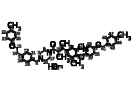 Br.C/C(C(=O)N1CCN(Cc2ccc(CCOc3ccc(C)cc3)cc2)CC1)=C(/C)c1cc(C)c(Oc2ccc(OCc3ccc(C)cc3)cn2)c(Cl)c1